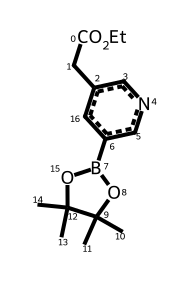 CCOC(=O)Cc1cncc(B2OC(C)(C)C(C)(C)O2)c1